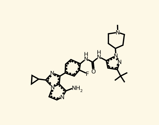 CN1CCC(n2nc(C(C)(C)C)cc2NC(=O)Nc2ccc(-c3nc(C4CC4)n4ccnc(N)c34)cc2F)CC1